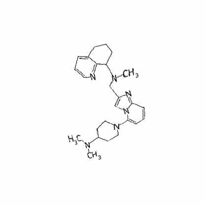 CN(C)C1CCN(c2cccc3nc(CN(C)C4CCCc5cccnc54)cn23)CC1